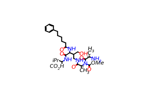 COC(=O)N(C(=O)[C@H](C)N)[C@@H](C)C(=O)NCC(CO)C(NC(=O)CCCCCc1ccccc1)C(=O)NC(C(=O)O)C(C)C